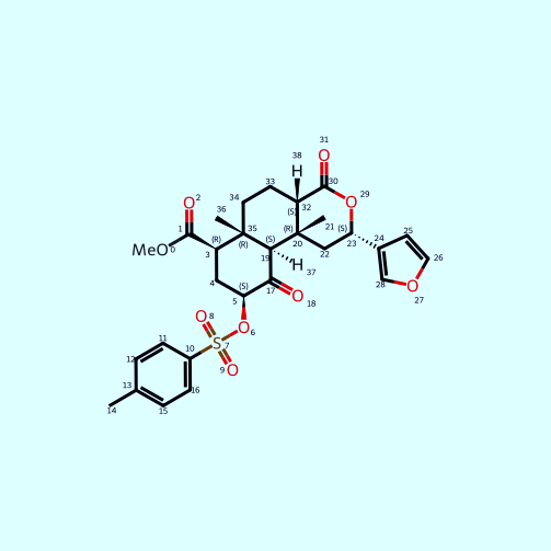 COC(=O)[C@@H]1C[C@H](OS(=O)(=O)c2ccc(C)cc2)C(=O)[C@@H]2[C@@]3(C)C[C@@H](c4ccoc4)OC(=O)[C@H]3CC[C@]21C